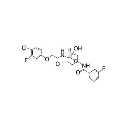 O=C(COc1ccc(Cl)c(F)c1)NC12CCC(NC(=O)c3cccc(F)c3)(CC1)C[C@@H]2O